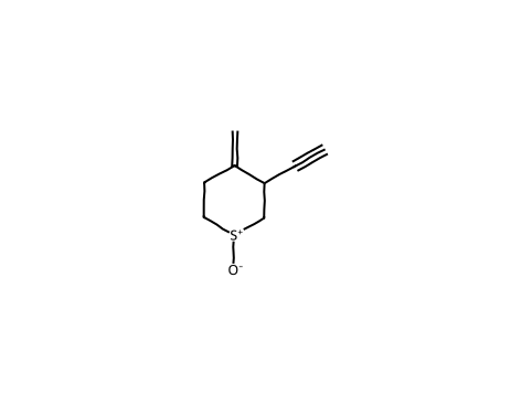 C#CC1C[S+]([O-])CCC1=C